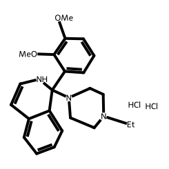 CCN1CCN(C2(c3cccc(OC)c3OC)NC=Cc3ccccc32)CC1.Cl.Cl